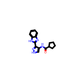 O=C(Nc1c[nH]nc1-c1nc2ccccc2[nH]1)C1CCCC1